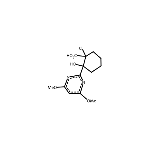 COc1cc(OC)nc(C2(O)CCCCC2(Cl)C(=O)O)n1